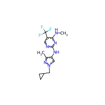 CNc1nc(Nc2cn(CC3CC3)nc2C)ncc1C(F)(F)F